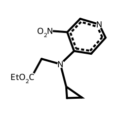 CCOC(=O)CN(c1ccncc1[N+](=O)[O-])C1CC1